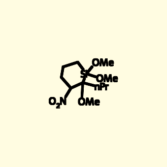 CCCC1(OC)C([N+](=O)[O-])CCC[Si]1(OC)OC